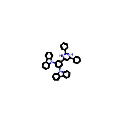 C1=CCC(C2NC(c3cc(N4C5C=CC=CC5C5CC=CCC54)cc(-n4c5ccccc5c5ccccc54)c3)=CC(C3=CCCC=C3)N2)C=C1